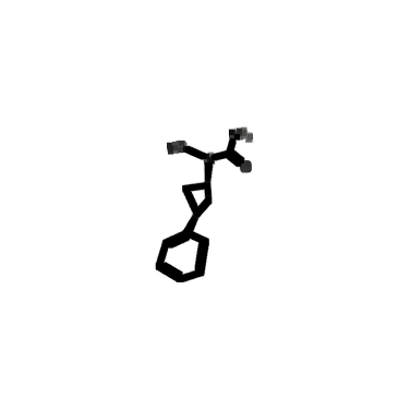 NC(=O)N(O)[C@H]1C[C@@H](c2ccccc2)C1